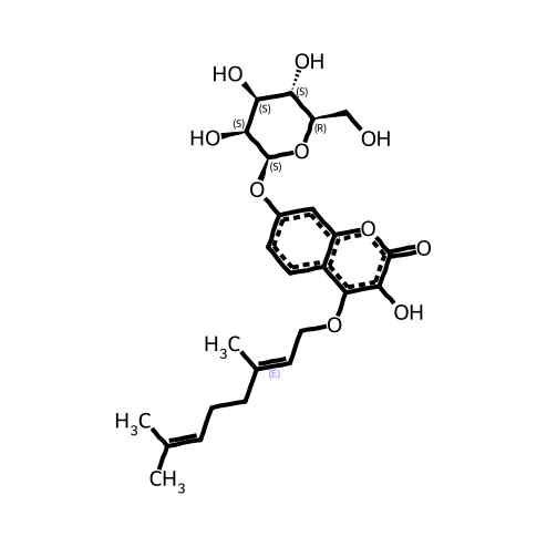 CC(C)=CCC/C(C)=C/COc1c(O)c(=O)oc2cc(O[C@@H]3O[C@H](CO)[C@@H](O)[C@H](O)[C@@H]3O)ccc12